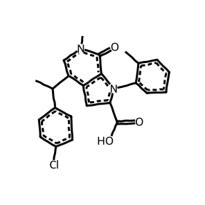 Cc1ccccc1-n1c(C(=O)O)cc2c(C(C)c3ccc(Cl)cc3)cn(C)c(=O)c21